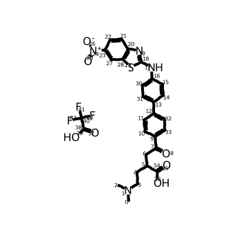 CN(C)CCC(CC(=O)c1ccc(-c2ccc(Nc3nc4ccc([N+](=O)[O-])cc4s3)cc2)cc1)C(=O)O.O=C(O)C(F)(F)F